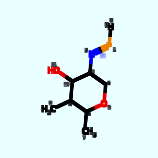 [3H]/P=N/C1COC(C)C(C)C1O